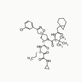 CCC[C@H](NC(=O)[C@@H]1C[C@]2(CC(c3cccc(Cl)c3)=NO2)CN1C(=O)[C@@H](NC(=O)CC12CCCCC1C2)C(C)(C)C)C(=O)C(=O)NC1CC1